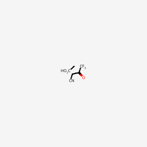 CC(=O)O.N#CCC(=O)C(F)(F)F